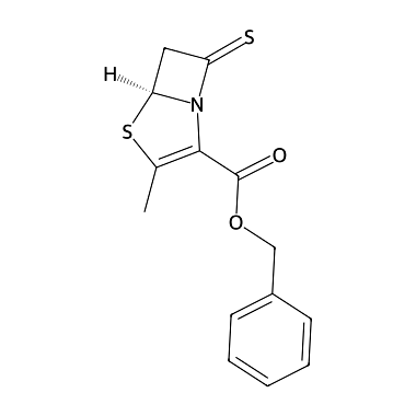 CC1=C(C(=O)OCc2ccccc2)N2C(=S)C[C@@H]2S1